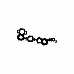 O=[N+]([O-])c1ccc2c(c1)CC(N1CCN(c3cccc4c3OCCO4)CC1)C2